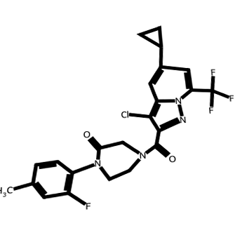 Cc1ccc(N2CCN(C(=O)c3nn4c(C(F)(F)F)cc(C5CC5)cc4c3Cl)CC2=O)c(F)c1